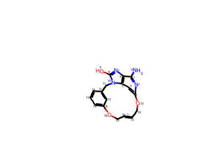 Nc1nc2cc3c1nc(O)n3Cc1cccc(c1)OC/C=C/CO2